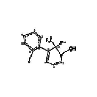 OC1C=CC=C(c2ccccc2F)C1(F)C(F)(F)F